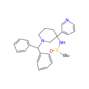 CC(C)(C)[S+]([O-])NC1(c2cccnc2)CCCN(C(c2ccccc2)c2ccccc2)C1